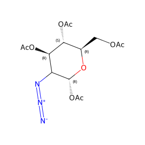 CC(=O)OC[C@H]1O[C@H](OC(C)=O)C(N=[N+]=[N-])[C@@H](OC(C)=O)[C@@H]1OC(C)=O